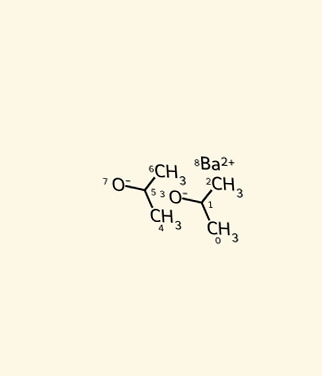 CC(C)[O-].CC(C)[O-].[Ba+2]